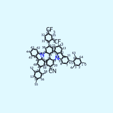 Cc1cc(C)c(-c2ccc3c(c2)c2ccccc2n3-c2cc(C#N)ccc2-c2ccc(-c3ccc(C(F)(F)F)cc3C(F)(F)F)cc2-n2c3ccccc3c3cc(-c4c(C)cc(C)cc4C)ccc32)c(C)c1